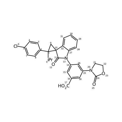 CC(C)C1(c2ccc(Cl)cc2)CC12C(=O)N(c1cc(C(=O)O)cc(N3CCOC3=O)c1)c1ccccc12